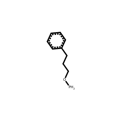 POCCCc1ccccc1